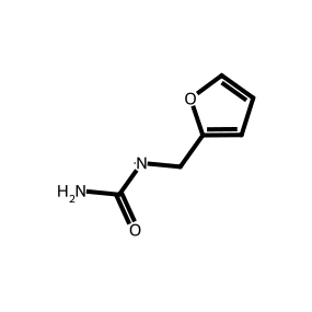 NC(=O)[N]Cc1ccco1